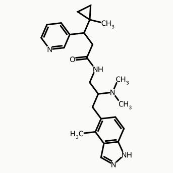 Cc1c(CC(CNC(=O)CC(c2cccnc2)C2(C)CC2)N(C)C)ccc2[nH]ncc12